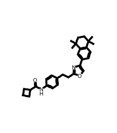 CC1(C)CCC(C)(C)c2cc(-c3coc(CCc4ccc(NC(=O)C5CCC5)cc4)n3)ccc21